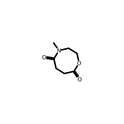 CN1CCOC(=O)CCC1=O